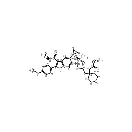 CCc1ccc(-c2oc3nc(N(CCCC4(CC(=O)OC)CCOCC4)S(C)(=O)=O)c(C4CC4)cc3c2C(=O)NC)cc1